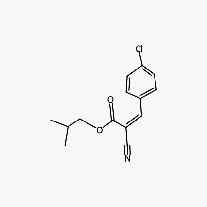 CC(C)COC(=O)C(C#N)=Cc1ccc(Cl)cc1